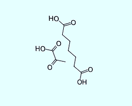 CC(=O)C(=O)O.O=C(O)CCCCCC(=O)O